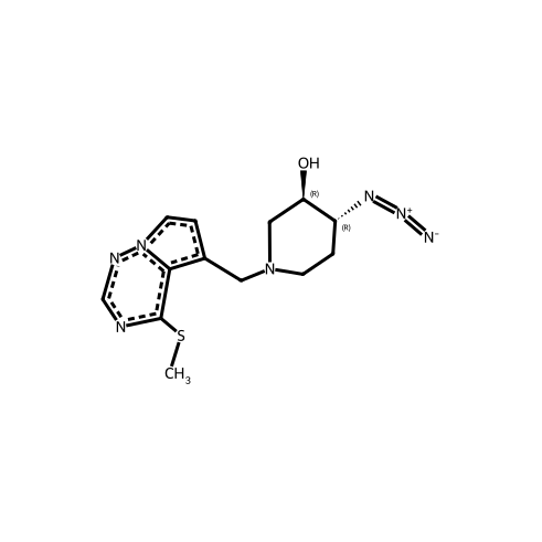 CSc1ncnn2ccc(CN3CC[C@@H](N=[N+]=[N-])[C@H](O)C3)c12